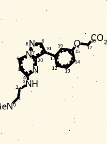 CNCCNc1ccn2ncc(-c3cccc(OCC(=O)O)c3)c2n1